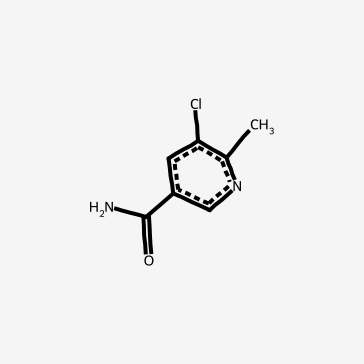 Cc1ncc(C(N)=O)cc1Cl